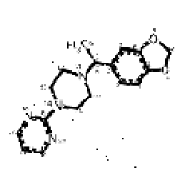 C[C@@H](c1ccc2c(c1)OCO2)N1CCN(c2ncccn2)CC1